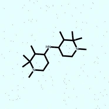 CC1C(NC2CCN(C)C(C)(C)C2C)CCN(C)C1(C)C